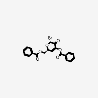 O=C(OC[C@@H]1C=C(OC(=O)c2ccccc2)C(=O)[C@@H](Br)O1)c1ccccc1